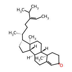 CC=C(CC[C@@H](C)[C@H]1CC[C@H]2[C@@H]3CCC4=CC(=O)CC[C@]4(C)[C@H]3CC[C@]12C)C(C)C